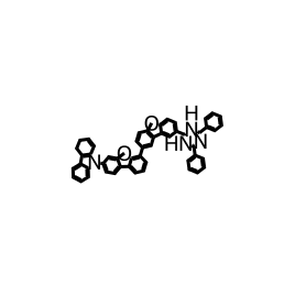 C1=Cc2c(c3ccccc3n2-c2ccc3c(c2)oc2c(-c4ccc5oc6ccc(C7NC(c8ccccc8)=NC(c8ccccc8)N7)cc6c5c4)cccc23)CC1